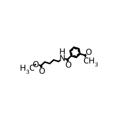 COC(=O)CCCCNC(=O)c1cccc(C(C)=O)c1